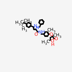 CCCC(C)(Oc1ccc(CNC(=O)c2cc(-c3ccc(C(C)(C)C)cc3)nn2Cc2ccccc2)cc1C)C(=O)O